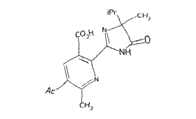 CC(=O)c1cc(C(=O)O)c(C2=NC(C)(C(C)C)C(=O)N2)nc1C